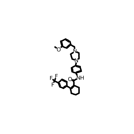 COc1cccc(CN2CCN(c3ccc(NC(=O)C4=C(c5ccc(C(F)(F)F)cc5)CCCC4)cc3)CC2)c1